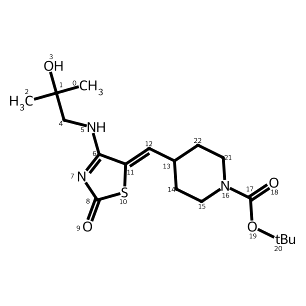 CC(C)(O)CNC1=NC(=O)S/C1=C\C1CCN(C(=O)OC(C)(C)C)CC1